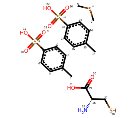 CSC.Cc1ccc(S(=O)(=O)O)cc1.Cc1ccc(S(=O)(=O)O)cc1.N[C@@H](CS)C(=O)O